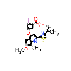 COc1ccc2c(O[C@@H]3C[C@@H](I)[C@H](C(=O)O)C3)cc(-c3nc(C(C)C)cs3)nc2c1C